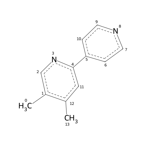 Cc1cnc(-c2ccncc2)cc1C